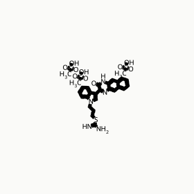 CS(=O)(=O)O.CS(=O)(=O)O.CS(=O)(=O)O.N=C(N)SCCCn1cc(-c2nc3cc4ccccc4cc3[nH]c2=O)c2ccccc21